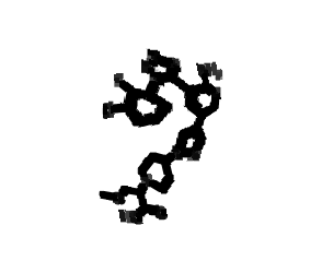 COCC(C(=O)O)N1CCC(n2cc(-c3cnc(N)c(-c4nnnn4-c4cccc(Cl)c4F)c3)cn2)CC1